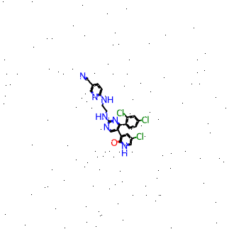 N#Cc1ccc(NCCNc2ncc(-c3cc(Cl)c[nH]c3=O)c(-c3ccc(Cl)cc3Cl)n2)nc1